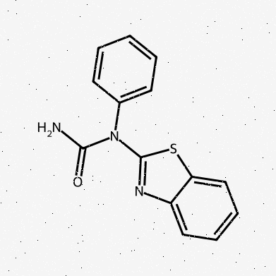 NC(=O)N(c1ccccc1)c1nc2ccccc2s1